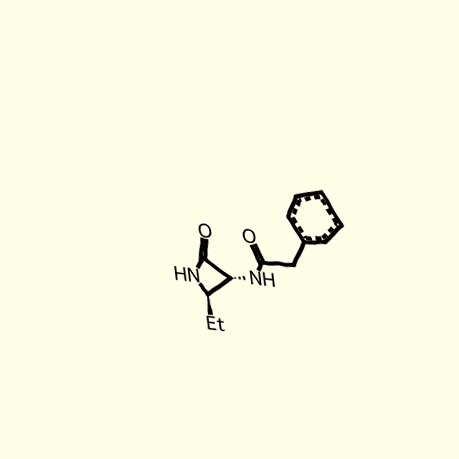 CC[C@H]1NC(=O)[C@@H]1NC(=O)Cc1ccccc1